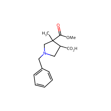 COC(=O)C1(C)CN(Cc2ccccc2)CC1C(=O)O